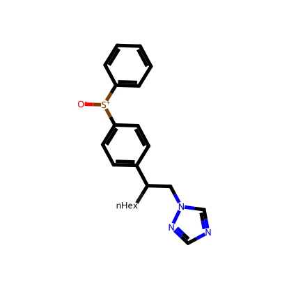 CCCCCCC(Cn1cncn1)c1ccc([S+]([O-])c2ccccc2)cc1